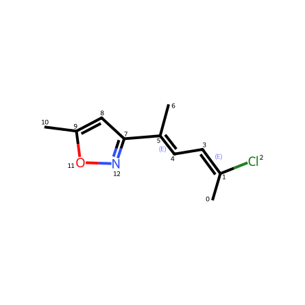 C/C(Cl)=C\C=C(/C)c1cc(C)on1